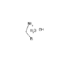 CCCN.Cl.O